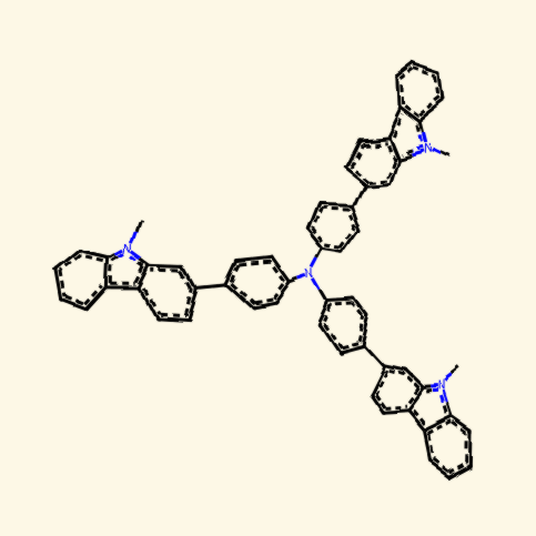 Cn1c2ccccc2c2ccc(-c3ccc(N(c4ccc(-c5ccc6c7ccccc7n(C)c6c5)cc4)c4ccc(-c5ccc6c7ccccc7n(C)c6c5)cc4)cc3)cc21